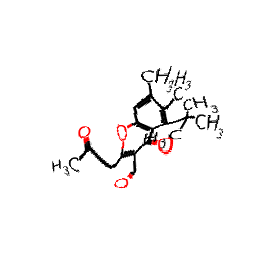 CC(=O)Cc1oc2cc(C)c(C)c(C(C)(C)C)c2c(=O)c1C=O